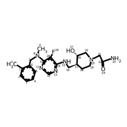 Cc1ccccc1CN(C)c1ncnc(NC[C@@H]2CCN(CC(N)=O)C[C@H]2O)c1F